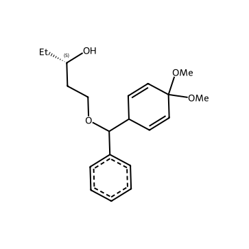 CC[C@H](O)CCOC(c1ccccc1)C1C=CC(OC)(OC)C=C1